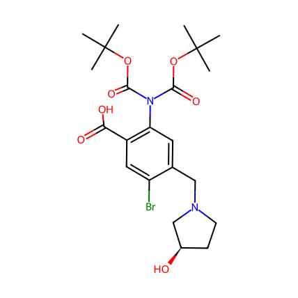 CC(C)(C)OC(=O)N(C(=O)OC(C)(C)C)c1cc(CN2CC[C@@H](O)C2)c(Br)cc1C(=O)O